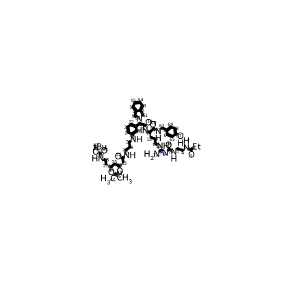 CCC(=O)NCCNC(=O)/N=C(/N)NCCC[C@@H](NC(=O)[C@H](c1cccc(NCCCNC(=O)C[C@H]2C[C@@H](CCNC(=O)OC(C)(C)C)OC(C)(C)O2)c1)N1Cc2ccccc2C1)C(=O)NCc1ccc(O)cc1